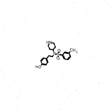 Cc1cccc(S(=O)(=O)N(CCc2ccc(O)cc2)C2CCNCC2)c1